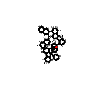 c1ccc(C2(c3ccccc3)c3ccccc3-c3cccc(-c4ccc(-c5cccc6oc7c8ccccc8c(N(c8ccc9ccccc9c8)c8ccc9ccccc9c8)cc7c56)cc4)c32)cc1